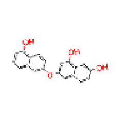 Oc1ccc2cc(Oc3ccc4c(O)cccc4c3)cc(O)c2c1